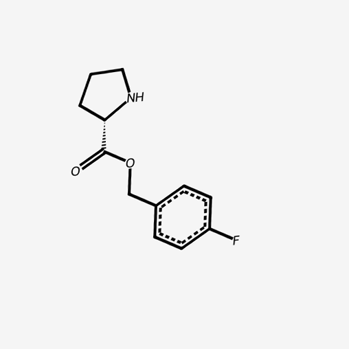 O=C(OCc1ccc(F)cc1)[C@@H]1CCCN1